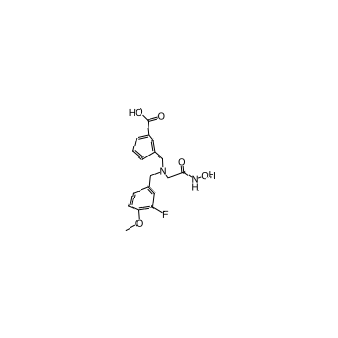 COc1ccc(CN(CC(=O)NO)Cc2cccc(C(=O)O)c2)cc1F